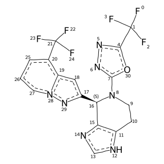 FC(F)(F)c1nnc(N2CCc3[nH]cnc3[C@H]2c2cc3c(C(F)(F)F)cccn3n2)o1